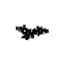 Cn1ncc(NC(=O)c2csc(-c3c(F)cc(CCF)cc3F)n2)c1[C@@H]1CC[C@@H](N)[C@H](F)CO1